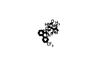 Cc1cnn(C)c1[C@@]1(CNC(=O)c2ccccc2-c2ccc(C(F)(F)F)cc2)NC(=O)NC1=O